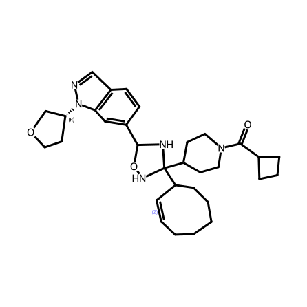 O=C(C1CCC1)N1CCC(C2(C3/C=C\CCCCC3)NOC(c3ccc4cnn([C@@H]5CCOC5)c4c3)N2)CC1